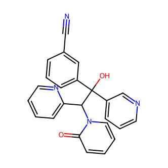 N#Cc1cccc(C(O)(c2cccnc2)C(c2ccccn2)n2ccccc2=O)c1